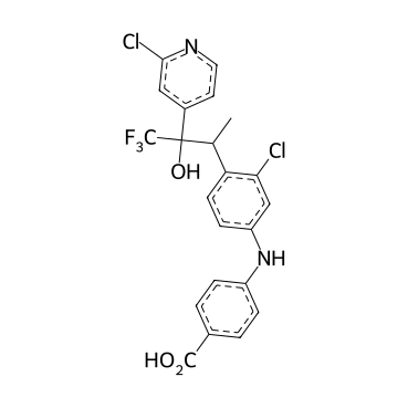 CC(c1ccc(Nc2ccc(C(=O)O)cc2)cc1Cl)C(O)(c1ccnc(Cl)c1)C(F)(F)F